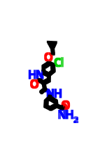 CC(Nc1cccc(C(N)=O)c1)c1cc2cc(Cl)c(OCC3CC3)cc2[nH]c1=O